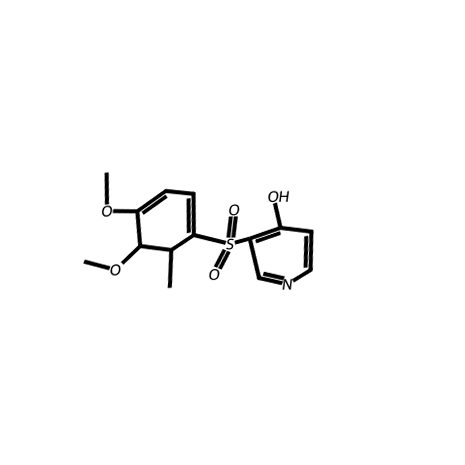 COC1=CC=C(S(=O)(=O)c2cnccc2O)C(C)C1OC